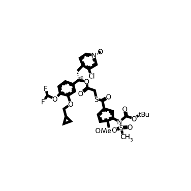 COc1ccc(C(=O)SCC(=O)O[C@@H](Cc2cc[n+]([O-])cc2Cl)c2ccc(OC(F)F)c(OCC3CC3)c2)cc1N(C(=O)OC(C)(C)C)S(C)(=O)=O